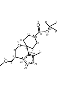 COC[C@H]1COC2(CCN(C(=O)OC(C)(C)C)CC2)c2c(C)cnn21